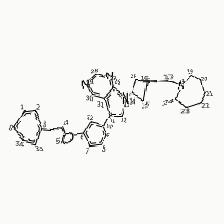 c1ccc(COc2cccc(-c3cn([C@H]4C[C@H](CN5CCCCCC5)C4)c4ncncc34)c2)cc1